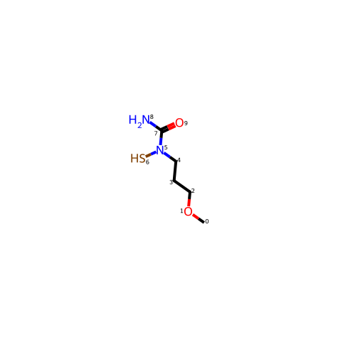 COCCCN(S)C(N)=O